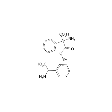 CC(C)OC(=O)C(N)(C(=O)O)c1ccccc1.NC(C(=O)O)c1ccccc1